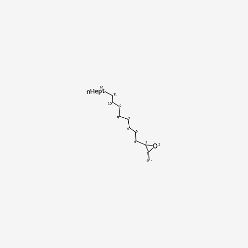 [CH2]C1OC1CCCCCCCCCCCCCCC